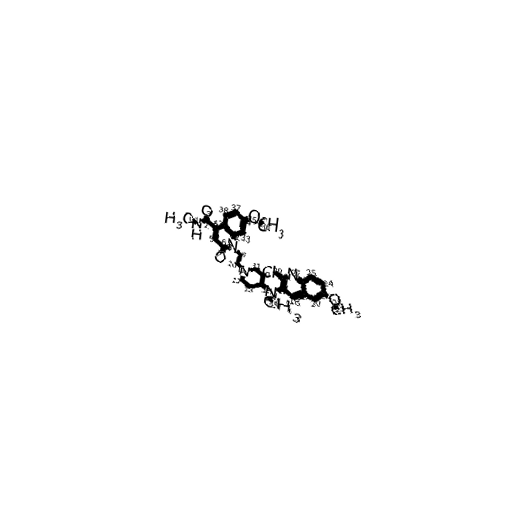 CNC(=O)c1cc(=O)n(CCN2CCC(N(C)c3cc4cc(OC)ccc4nc3Cl)CC2)c2cc(OC)ccc12